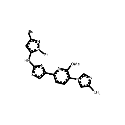 CCn1nc(C(C)(C)C)cc1Nc1nc(-c2ccc(-n3cnc(C)c3)c(OC)n2)cs1